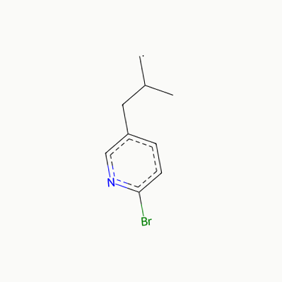 [CH2]C(C)Cc1ccc(Br)nc1